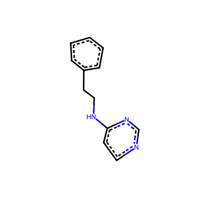 [c]1nccc(NCCc2ccccc2)n1